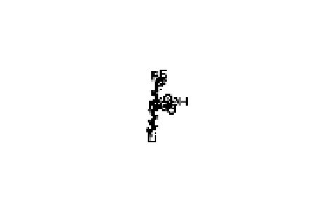 O=S(=O)(O)O.[Li][CH2]CCCCCCCCCCC(F)(F)F